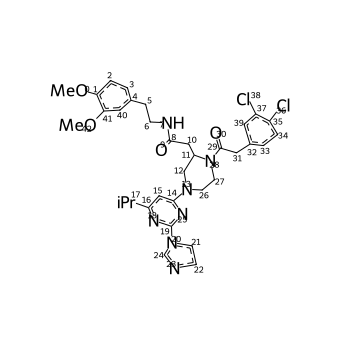 COc1ccc(CCNC(=O)CC2CN(c3cc(C(C)C)nc(-n4ccnc4)n3)CCN2C(=O)Cc2ccc(Cl)c(Cl)c2)cc1OC